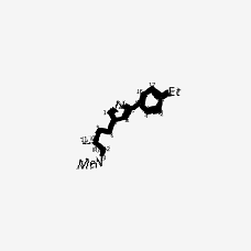 CCc1ccc(C2=CC(CC[C@@H](C)CNC)C=N2)cc1